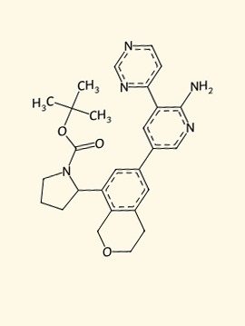 CC(C)(C)OC(=O)N1CCCC1c1cc(-c2cnc(N)c(-c3ccncn3)c2)cc2c1COCC2